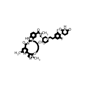 Cc1cc2cc(n1)-c1cnn(C)c1OCCC[C@@H](C)CN1/C(=N/C2=O)Nc2ccc(C(=O)N(C)C[C@H]3CCCN(CCc4cc(F)c([C@H]5CCC(=O)NC5=O)c(F)c4)C3)cc21